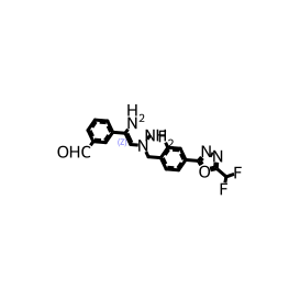 N/C(=C\N(N)Cc1ccc(-c2nnc(C(F)F)o2)cc1F)c1cccc(C=O)c1